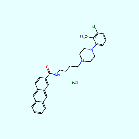 Cc1c(Cl)cccc1N1CCN(CCCCNC(=O)c2ccc3cc4ccccc4cc3c2)CC1.Cl